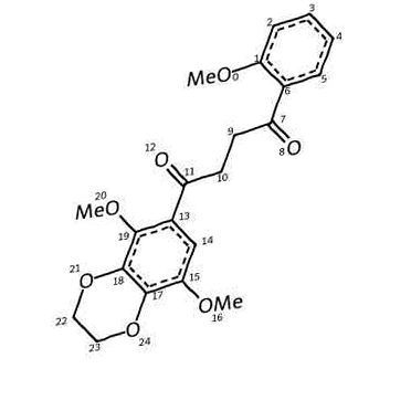 COc1ccccc1C(=O)CCC(=O)c1cc(OC)c2c(c1OC)OCCO2